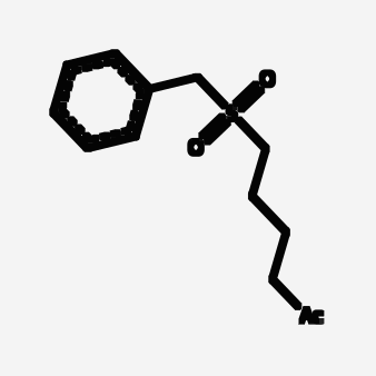 CC(=O)CCCCS(=O)(=O)Cc1ccccc1